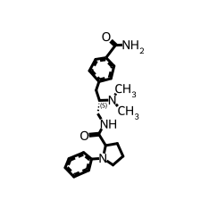 CN(C)[C@H](CNC(=O)C1CCCN1c1ccccc1)Cc1ccc(C(N)=O)cc1